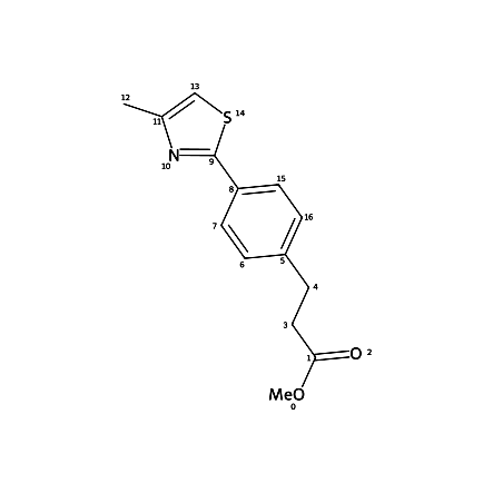 COC(=O)CCc1ccc(-c2nc(C)cs2)cc1